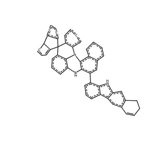 B1c2cccc3c2N(c2ccccc2C32C3=CC=CCC3c3ccccc32)c2c1c(-c1cccc3c1[nH]c1cc4c(cc13)C=CCC4)cc1ccccc21